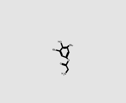 CC(C)(C)c1cc(OC(=O)CN)cc(C(C)(C)C)c1O